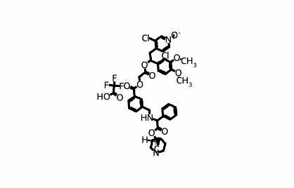 COc1ccc(C(Cc2c(Cl)c[n+]([O-])cc2Cl)OC(=O)COC(=O)c2cccc(CNC(C(=O)O[C@H]3CN4CCC3CC4)c3ccccc3)c2)cc1OC.O=C(O)C(F)(F)F